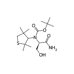 CC(C)(C)OC(=O)N(C1C(C)(C)CSC1(C)C)[C@H](CO)C(N)=O